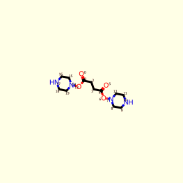 O=C(CCC(=O)ON1CCNCC1)ON1CCNCC1